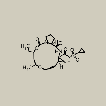 CC[C@H]1CC(=O)N2CCC[C@H]2C(=O)N[C@]2(C(=O)NS(=O)(=O)C3CC3)C[C@H]2/C=C\CC[C@@H](C)C1